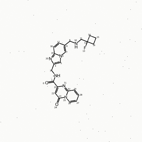 O=C(NCc1cn2cc(CNCC3(F)CCC3)ccc2n1)c1cc(=O)n2ccccc2n1